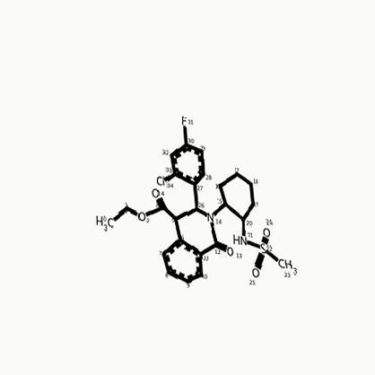 CCOC(=O)C1c2ccccc2C(=O)N(C2CCCCC2NS(C)(=O)=O)C1c1ccc(F)cc1Cl